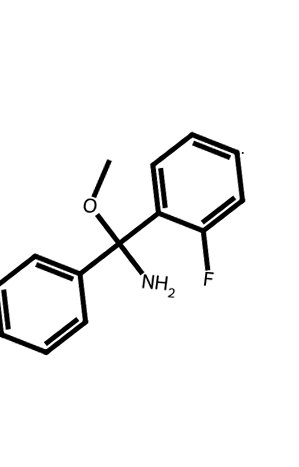 COC(N)(c1ccccc1)c1cc[c]cc1F